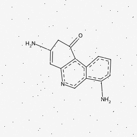 NC1=Cc2ncc3c(N)cccc3c2C(=O)C1